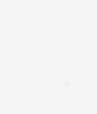 C(C=Cc1ccccc1)=Cc1ccccc1.CC(O)O.[Ti]